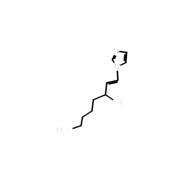 CCCCCC(O)/C=C/n1ccnc1